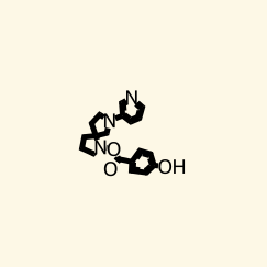 O=C(ON1CCCC12CCN(c1cccnc1)C2)c1ccc(O)cc1